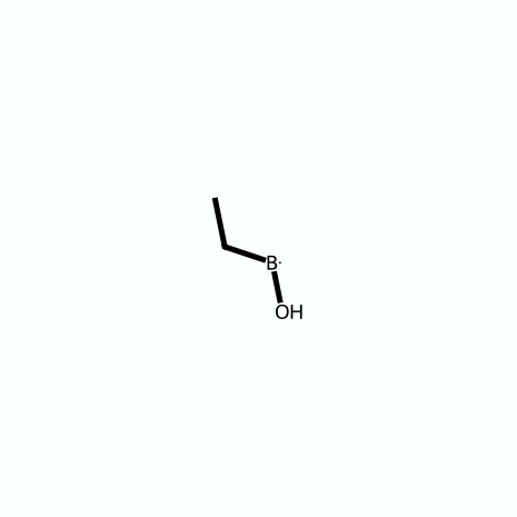 CC[B]O